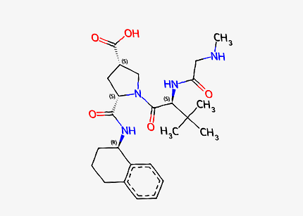 CNCC(=O)N[C@H](C(=O)N1C[C@@H](C(=O)O)C[C@H]1C(=O)N[C@@H]1CCCc2ccccc21)C(C)(C)C